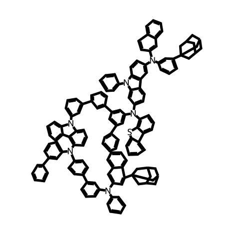 c1ccc(-c2cc(-c3cccc(-c4cccc(-n5c6ccccc6c6c(N(c7ccc(-c8cccc(N(c9ccccc9)c9cc(C%10%11CC%12CC(CC(C%12)C%10)C%11)c%10ccccc%10c9)c8)cc7)c7cccc(-c8ccccc8)c7)cccc65)c4)c3)cc(N(c3ccc4c5cc(N(c6cccc(C78CC9CC(CC(C9)C7)C8)c6)c6ccc7ccccc7c6)ccc5n(-c5ccccc5)c4c3)c3cccc4c3sc3ccccc34)c2)cc1